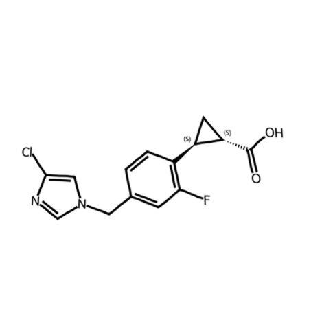 O=C(O)[C@H]1C[C@@H]1c1ccc(Cn2cnc(Cl)c2)cc1F